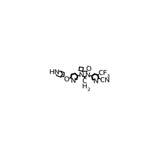 C=C1N(c2cnc(C#N)c(C(F)(F)F)c2)C(=O)C2(CCC2)N1c1ccc(OC2CC3CC2CN3)nc1